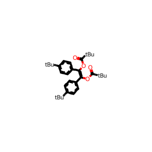 CC(C)(C)C(=O)OC(=C(OC(=O)C(C)(C)C)c1ccc(C(C)(C)C)cc1)c1ccc(C(C)(C)C)cc1